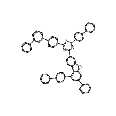 c1ccc(-c2ccc(-c3nc(-c4ccc(-c5cccc(-c6ccccc6)c5)cc4)nc(-c4ccc5c(c4)oc4cc(-c6ccccc6)cc(-c6ccc(-c7ccccc7)cc6)c45)n3)cc2)cc1